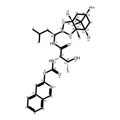 CC(C)C[C@H](NC(=O)[C@@H](NC(=O)Oc1cc2ccccc2cn1)[C@@H](C)O)B1O[C@@H]2C[C@@H]3C[C@@H](C3(C)C)[C@]2(C)O1